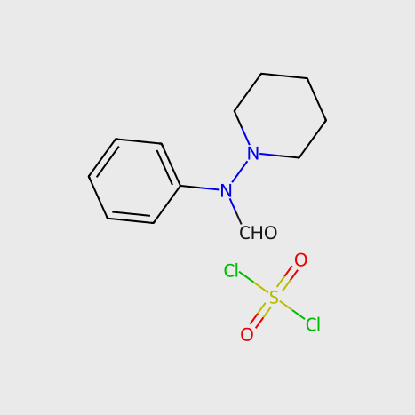 O=CN(c1ccccc1)N1CCCCC1.O=S(=O)(Cl)Cl